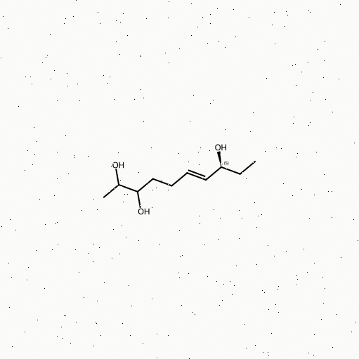 CC[C@H](O)C=CCCC(O)C(C)O